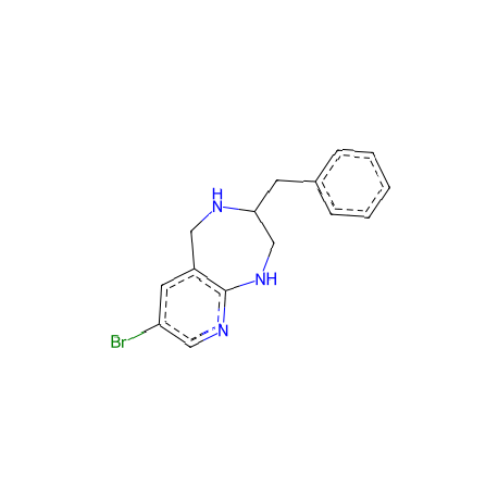 Brc1cnc2c(c1)CNC(Cc1ccccc1)CN2